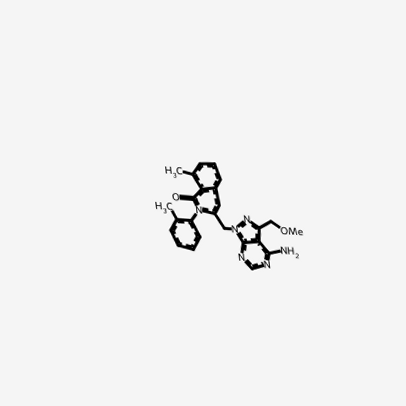 COCc1nn(Cc2cc3cccc(C)c3c(=O)n2-c2ccccc2C)c2ncnc(N)c12